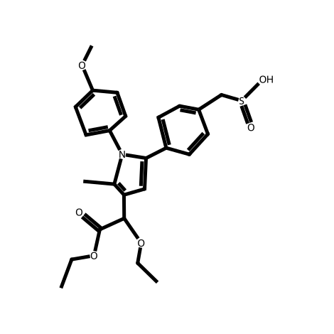 CCOC(=O)C(OCC)c1cc(-c2ccc(CS(=O)O)cc2)n(-c2ccc(OC)cc2)c1C